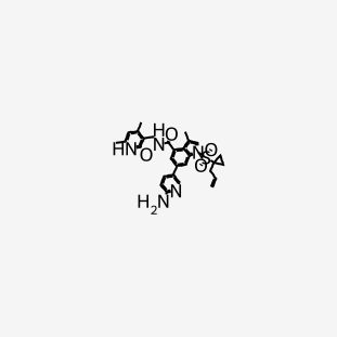 C=CCC1(S(=O)(=O)n2cc(C)c3c(C(=O)NCc4c(C)cc(C)[nH]c4=O)cc(-c4ccc(N)nc4)cc32)CC1